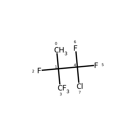 CC(F)(C(F)(F)F)C(F)(F)Cl